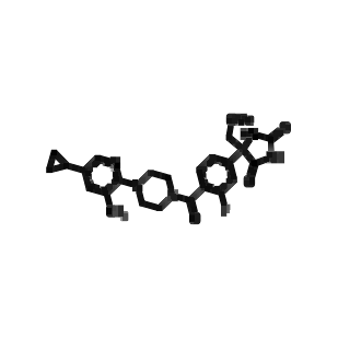 COCC1(c2ccc(C(=O)N3CCN(c4ncc(C5CC5)cc4C)CC3)c(F)c2)NC(=O)NC1=O